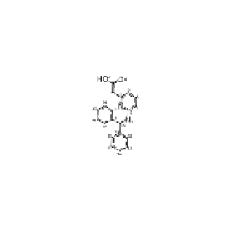 O=C(O)Cc1cccc(N=C(c2ccccc2)c2ccccc2)n1